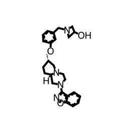 OC1CN(Cc2cccc(OC[C@H]3CC[C@H]4CN(c5noc6ccccc56)CCN4C3)c2)C1